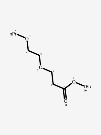 CCCOCCOCCC(=O)OC(C)(C)C